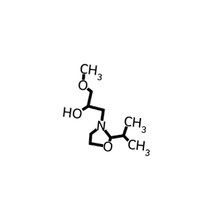 COCC(O)CN1CCOC1C(C)C